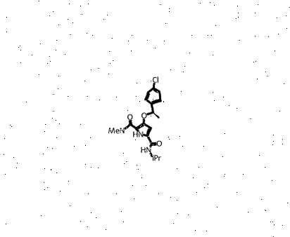 CNC(=O)c1[nH]c(C(=O)NC(C)C)cc1O[C@H](C)c1ccc(Cl)cc1